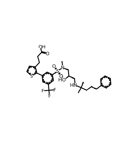 CN(CC(O)CNC(C)(C)CCCc1ccccc1)S(=O)(=O)c1cc(-c2sccc2CCC(=O)O)cc(C(F)(F)F)c1